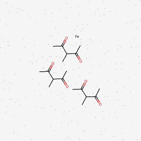 CC(=O)C(C)C(C)=O.CC(=O)C(C)C(C)=O.CC(=O)C(C)C(C)=O.[Fe]